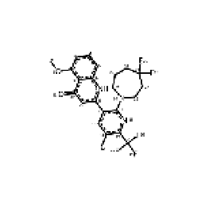 COc1cccc2[nH]c(-c3cc(C)c(C(F)(F)F)nc3N3CCCC(F)(F)CC3)cc(=O)c12